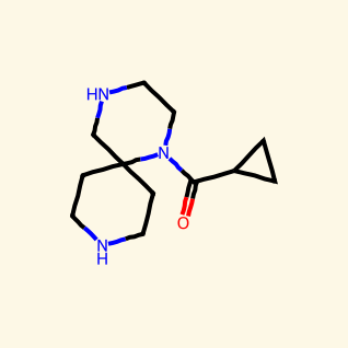 O=C(C1CC1)N1CCNCC12CCNCC2